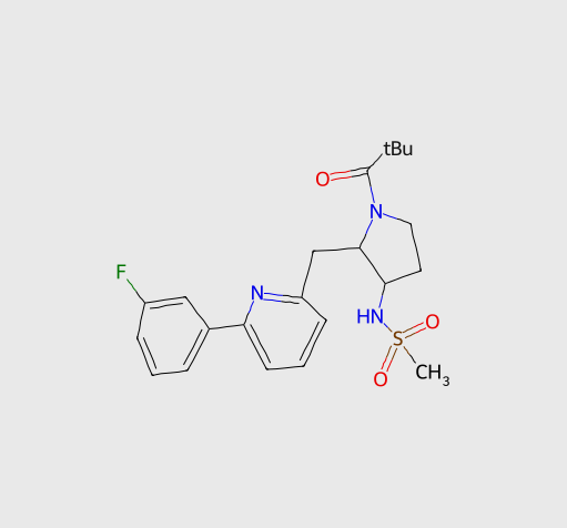 CC(C)(C)C(=O)N1CCC(NS(C)(=O)=O)C1Cc1cccc(-c2cccc(F)c2)n1